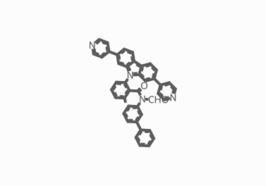 Cc1cccc(-n2c3cc(-c4ccncc4)ccc3c3ccc(-c4ccncc4)cc32)c1C(=O)N(C=O)c1cccc(-c2ccccc2)c1